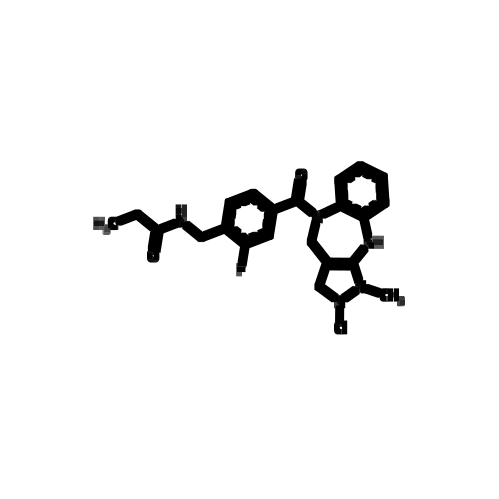 CCC(=O)NCc1ccc(C(=O)N2CC3=C(Nc4ccccc42)N(C)N(Cl)C3)cc1F